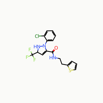 O=C(NCCc1cccs1)C1=CC(C(F)(F)F)NN1c1ccccc1Cl